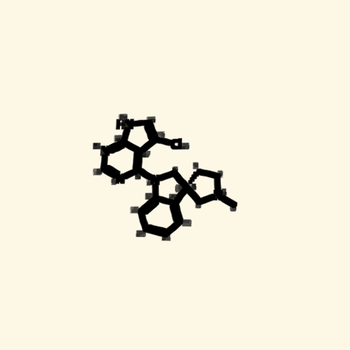 CN1CC[C@@]2(C1)CN(c1ncnc3[nH]cc(Cl)c13)c1ccccc12